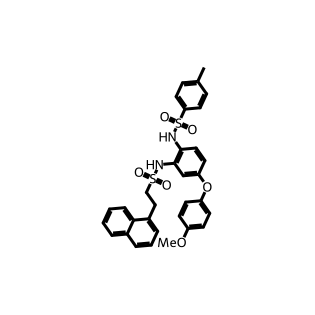 COc1ccc(Oc2ccc(NS(=O)(=O)c3ccc(C)cc3)c(NS(=O)(=O)CCc3cccc4ccccc34)c2)cc1